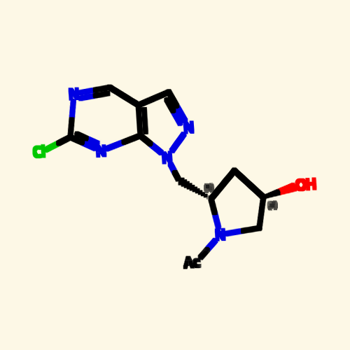 CC(=O)N1C[C@H](O)C[C@H]1Cn1ncc2cnc(Cl)nc21